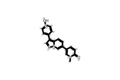 Cn1cc(-c2ccc3c(-c4cc[n+](O)cc4)cnn3c2)ccc1=O